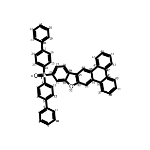 O=P(c1ccc(-c2ccccc2)cc1)(c1ccc(-c2ccccc2)cc1)c1ccc2c(c1)oc1cc3c4ccccc4c4ccccc4c3cc12